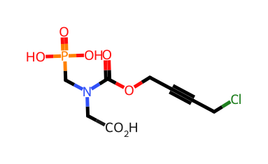 O=C(O)CN(CP(=O)(O)O)C(=O)OCC#CCCl